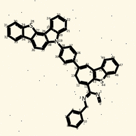 C=N/C(=N\Cc1ccccc1)C1=CCC(c2ccc(-n3c4ccccc4c4c5sc6ccccc6c5ccc43)cc2)=Cc2c1sc1ccccc21